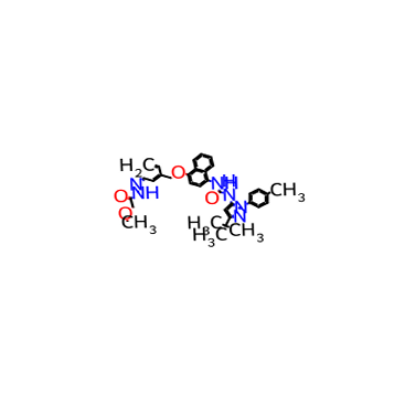 C=C/C(=C\C=N/NC(=O)COC)COc1ccc(NC(=O)Nc2cc(C(C)(C)C)nn2-c2ccc(C)cc2)c2ccccc12